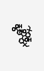 CCC(C)(C)c1cccc(C(c2ccc(C(=O)O)cc2)c2cccc(C(C)(C)CC)c2O)c1O